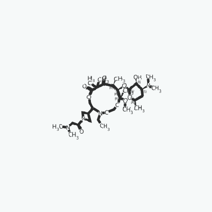 CCN1CCC[C@@](C)(OC)[C@H](O[C@@H]2O[C@H](C)C[C@H](N(C)C)[C@H]2O)[C@@H](C)C(=O)C(C)(C)C(=O)OCC1C1CN(C(=O)CN(C)C)C1